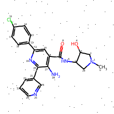 CN1CC(O)C(NC(=O)c2cc(-c3ccc(Cl)cc3)nc(-c3cccnc3)c2N)C1